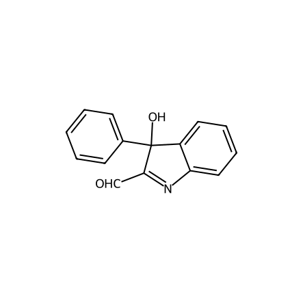 O=CC1=Nc2ccccc2C1(O)c1ccccc1